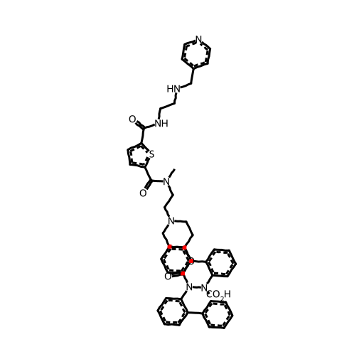 CN(CCN1CCC(OC(=O)N(c2ccccc2-c2ccccc2)N(C(=O)O)c2ccccc2-c2ccccc2)CC1)C(=O)c1ccc(C(=O)NCCNCc2ccncc2)s1